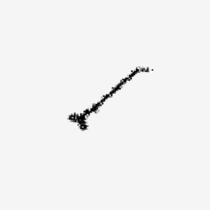 COCCOCCOCCOCCOCCOCCOCCOCCOCCOC(=O)/C=C/c1ccc(-c2nc3c([nH]2)c(=O)n(CC2CCCCC2)c(=O)n3CC2CCCCC2)s1